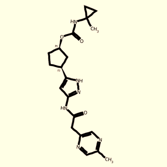 Cc1cnc(CC(=O)Nc2cc([C@H]3CC[C@@H](OC(=O)NC4(C)CC4)C3)[nH]n2)cn1